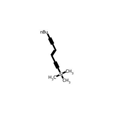 CCCCC#CC=CC#C[Si](C)(C)C